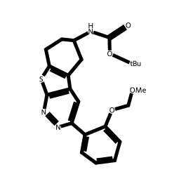 COCOc1ccccc1-c1cc2c3c(sc2nn1)CCC(NC(=O)OC(C)(C)C)C3